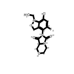 CCN1SCc2c1c(Cl)cc(F)c2N1C(=O)C2COCCN2C1=O